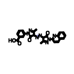 CC1=NN(c2cccc(C(=O)O)c2)C(=O)C1/N=N/C1C(=O)N(c2ccc3ccccc3n2)N=C1C